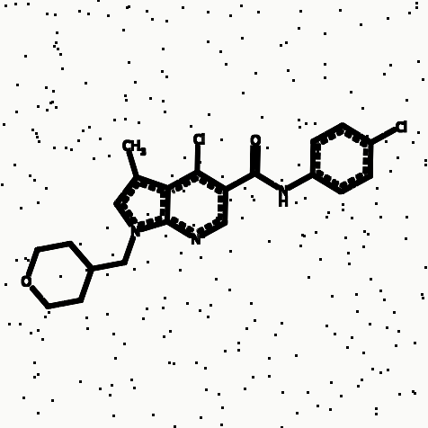 Cc1cn(CC2CCOCC2)c2ncc(C(=O)Nc3ccc(Cl)cc3)c(Cl)c12